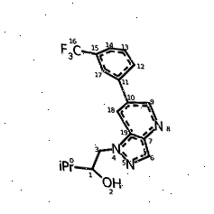 CC(C)C(O)Cn1ncc2ncc(-c3cccc(C(F)(F)F)c3)cc21